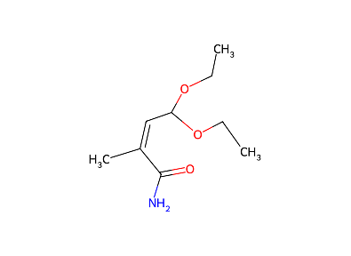 CCOC(C=C(C)C(N)=O)OCC